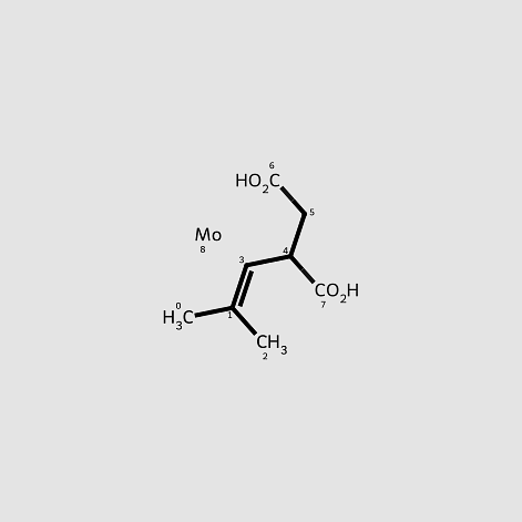 CC(C)=CC(CC(=O)O)C(=O)O.[Mo]